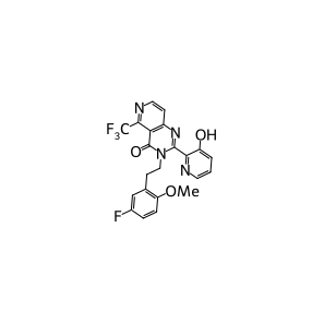 COc1ccc(F)cc1CCn1c(-c2ncccc2O)nc2ccnc(C(F)(F)F)c2c1=O